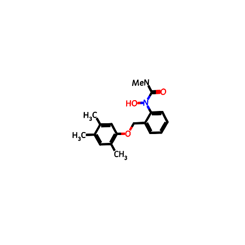 CNC(=O)N(O)c1ccccc1COc1cc(C)c(C)cc1C